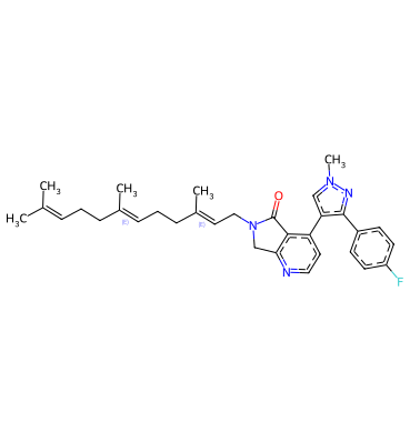 CC(C)=CCC/C(C)=C/CC/C(C)=C/CN1Cc2nccc(-c3cn(C)nc3-c3ccc(F)cc3)c2C1=O